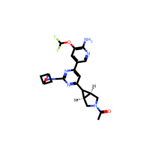 CC(=O)N1C[C@@H]2C(c3cc(-c4cnc(N)c(OC(F)F)c4)nc(N4CC5CC4C5)n3)[C@@H]2C1